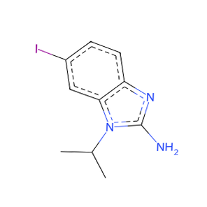 CC(C)n1c(N)nc2ccc(I)cc21